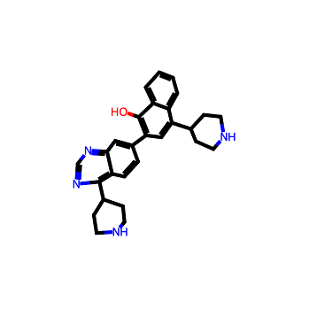 Oc1c(-c2ccc3c(C4CCNCC4)ncnc3c2)cc(C2CCNCC2)c2ccccc12